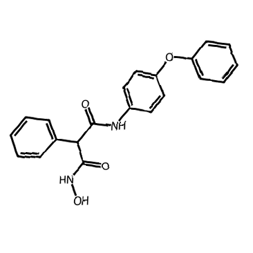 O=C(NO)C(C(=O)Nc1ccc(Oc2ccccc2)cc1)c1ccccc1